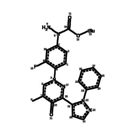 Cc1cn(-c2ccc(N(N)C(=O)OC(C)(C)C)cc2F)nc(-c2ccnn2-c2ccccc2)c1=O